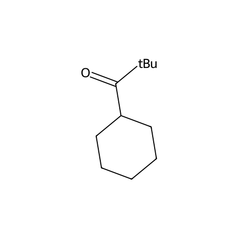 CC(C)(C)C(=O)C1CCCCC1